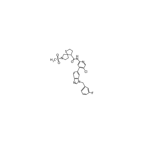 CS(=O)(=O)N1CCC2(C1)SCCC2C(=O)Nc1cc(-c2ccc3ncn(Cc4cccc(F)c4)c3c2)c(Cl)cn1